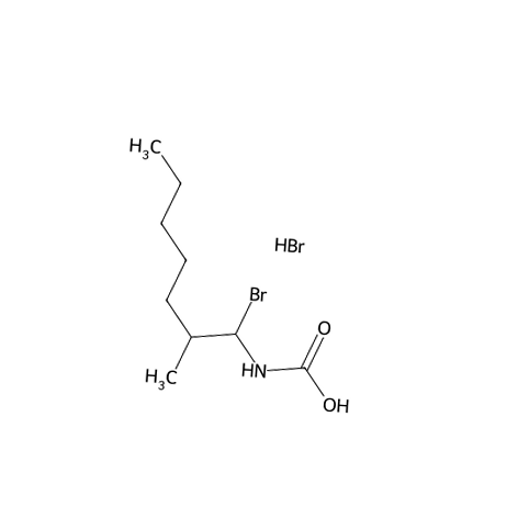 Br.CCCCCC(C)C(Br)NC(=O)O